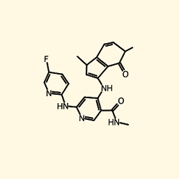 CNC(=O)c1cnc(Nc2ccc(F)cn2)cc1NC1=CC(C)C2=C1C(=O)C(C)C=C2